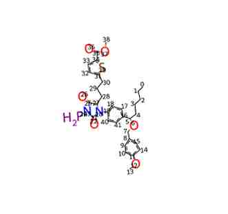 CCCCCC(OCc1ccc(OC)cc1)c1ccc(N2C(=O)N(P)C(=O)C2CCCc2ccc(C(=O)OC)s2)cc1